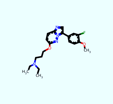 CCN(CC)CCCOc1ccc2ncc(-c3ccc(OC)c(F)c3)n2n1